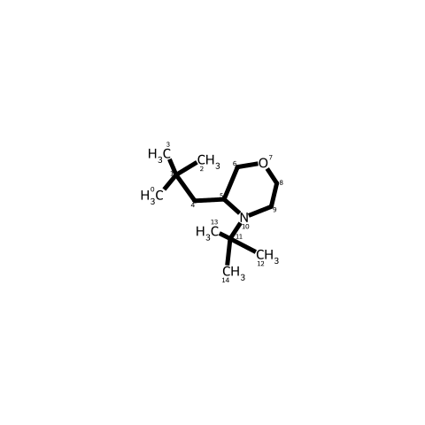 CC(C)(C)CC1COCCN1C(C)(C)C